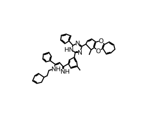 Cc1cc(C(=N)/C=C(\NCCC2C=CC=CC2)c2ccccc2)cc(C2=NC(C3C=CC4=C(OC5=C(C=CCC=C5)O4)C3C)=NC(c3ccccc3)N2)c1